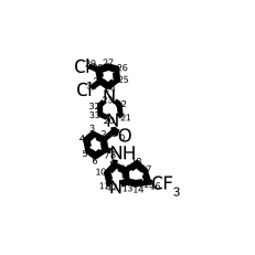 O=C(c1ccccc1Nc1ccnc2cc(C(F)(F)F)ccc12)N1CCN(c2cccc(Cl)c2Cl)CC1